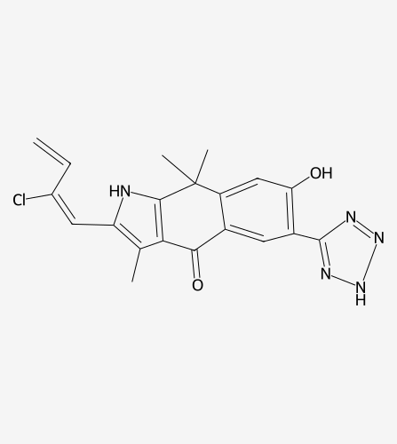 C=C/C(Cl)=C\c1[nH]c2c(c1C)C(=O)c1cc(-c3nn[nH]n3)c(O)cc1C2(C)C